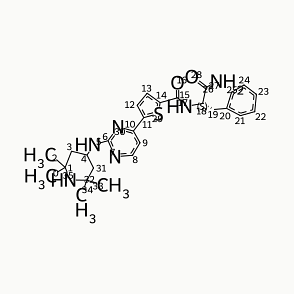 CC1(C)CC(Nc2nccc(-c3ccc(C(=O)N[C@@H](Cc4ccccc4)C(N)=O)s3)n2)CC(C)(C)N1